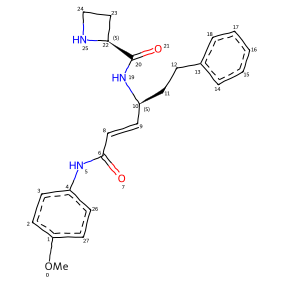 COc1ccc(NC(=O)C=C[C@H](CCc2ccccc2)NC(=O)[C@@H]2CCN2)cc1